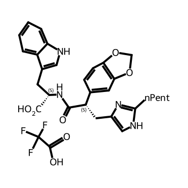 CCCCCc1nc(C[C@H](C(=O)N[C@@H](Cc2c[nH]c3ccccc23)C(=O)O)c2ccc3c(c2)OCO3)c[nH]1.O=C(O)C(F)(F)F